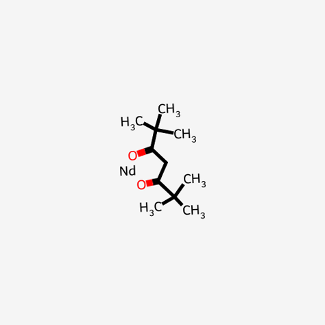 CC(C)(C)C(=O)CC(=O)C(C)(C)C.[Nd]